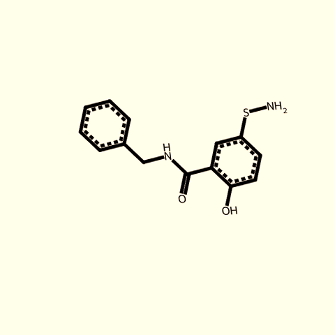 NSc1ccc(O)c(C(=O)NCc2ccccc2)c1